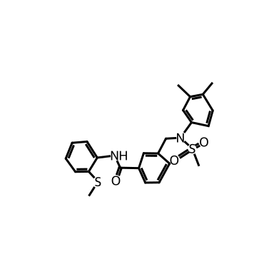 CSc1ccccc1NC(=O)c1cccc(CN(c2ccc(C)c(C)c2)S(C)(=O)=O)c1